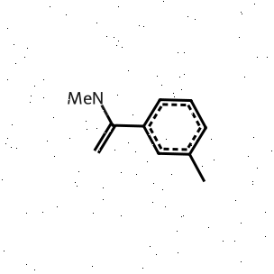 C=C(NC)c1cccc(C)c1